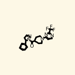 O=C(C1CCN(c2ccnc(C(F)(F)F)n2)CC1)N1N=CCC1c1ccccc1